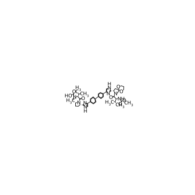 COC(=O)N[C@H](C(=O)N1CC2(C[C@H]1c1nc(-c3ccc(-c4ccc(-c5c[nH]c([C@@H]6CCCN6C(=O)[C@H](C(C)C)N(C)C(=O)O)n5)cc4)cc3)c[nH]1)OCCCO2)C(C)C